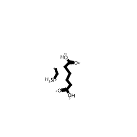 CC[SiH3].O=C(O)CCCCC(=O)O